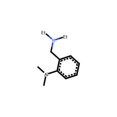 CCN(CC)Cc1cccc[c]1[Al]([CH3])[CH3]